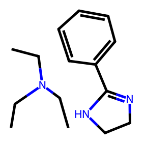 CCN(CC)CC.c1ccc(C2=NCCN2)cc1